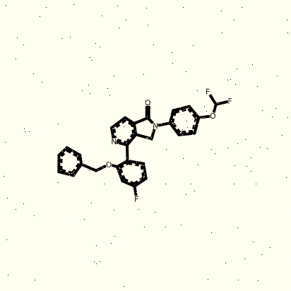 O=C1c2ccnc(-c3ccc(F)cc3OCc3ccccc3)c2CN1c1ccc(OC(F)F)cc1